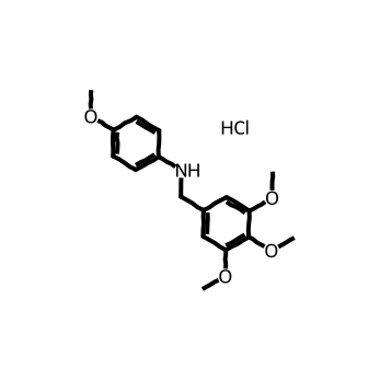 COc1ccc(NCc2cc(OC)c(OC)c(OC)c2)cc1.Cl